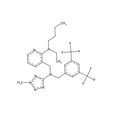 CCCCN(CC)c1ncccc1CN(Cc1cc(C(F)(F)F)cc(C(F)(F)F)c1)c1nnn(C)n1